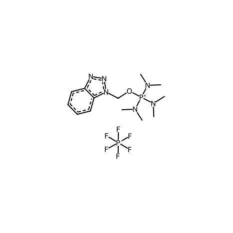 CN(C)[P+](OCn1nnc2ccccc21)(N(C)C)N(C)C.F[P-](F)(F)(F)(F)F